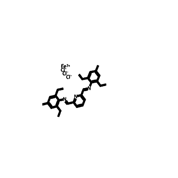 CCc1cc(C)cc(CC)c1N=Cc1cccc(C=Nc2c(CC)cc(C)cc2CC)n1.[Cl-].[Cl-].[Cl-].[Fe+3]